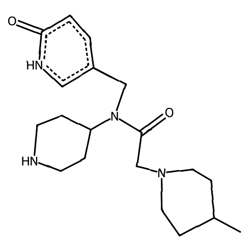 CC1CCN(CC(=O)N(Cc2ccc(=O)[nH]c2)C2CCNCC2)CC1